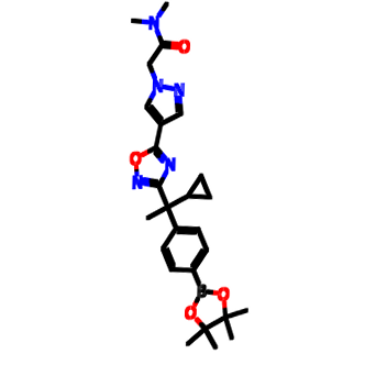 CN(C)C(=O)Cn1cc(-c2nc(C(C)(c3ccc(B4OC(C)(C)C(C)(C)O4)cc3)C3CC3)no2)cn1